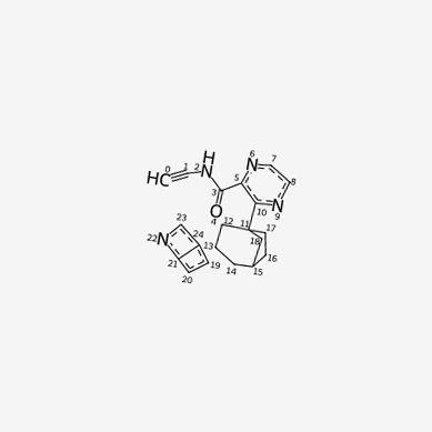 C#CNC(=O)c1nccnc1C12CCCC(CC1)C2.c1cc2ncc1-2